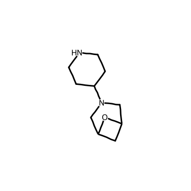 C1CC(N2CC3CC(C2)O3)CCN1